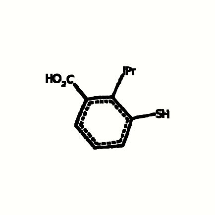 CC(C)c1c(S)cccc1C(=O)O